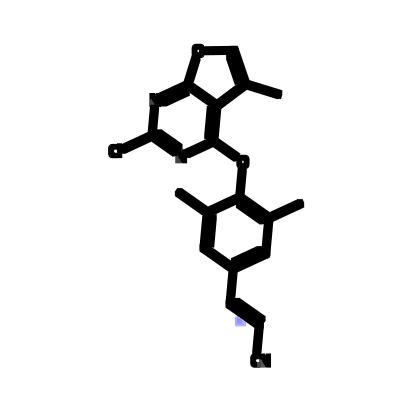 Cc1cc(/C=C/C#N)cc(C)c1Oc1nc(Cl)nc2occ(C)c12